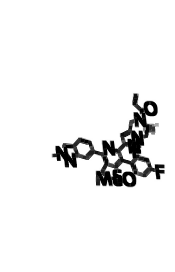 C=CC(=O)N1Cc2cc(-c3nc(-c4ccc5cn(C)nc5c4)c4ccsc4c3-c3c(F)cc(F)cc3OC)nn2C[C@H]1C